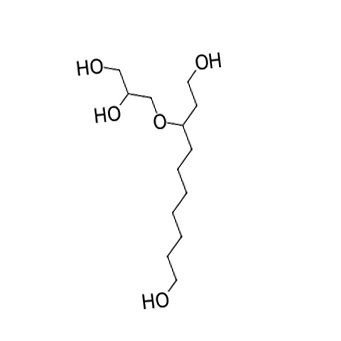 OCCCCCCCC(CCO)OCC(O)CO